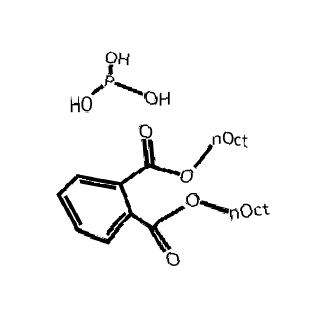 CCCCCCCCOC(=O)c1ccccc1C(=O)OCCCCCCCC.OP(O)O